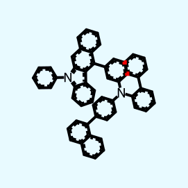 c1ccc(-c2ccccc2N(c2ccc(-c3cccc4ccccc34)cc2)c2cccc(-c3c4ccccc4cc4c3c3ccccc3n4-c3ccccc3)c2)cc1